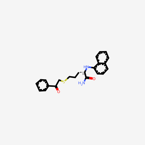 NC(=O)[C@H](CCCSCC(=O)c1ccccc1)Nc1cccc2ccccc12